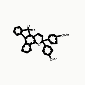 CCC1(CC)c2ccccc2-c2c1c1c(c3ccccc23)OC(c2ccc(OC)cc2)(c2ccc(OC)cc2)C=C1